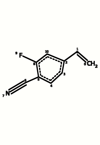 C=[C]c1ccc(C#N)c(F)c1